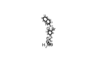 NS(=O)(=O)CC(=O)Cc1ccc(OCc2ccc3ccccc3n2)c(Br)c1